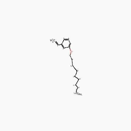 C=Cc1cccc(OCCCCCCCCCCCCCCCCCC)c1